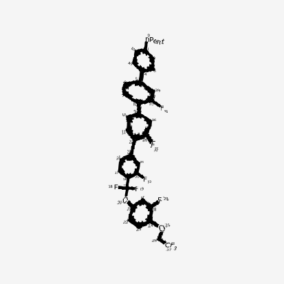 CCCCCc1ccc(-c2ccc(-c3ccc(-c4ccc(C(F)(F)Oc5ccc(OCC(F)(F)F)c(F)c5)c(F)c4)c(F)c3)c(F)c2)cc1